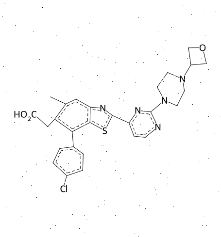 Cc1cc2nc(-c3ccnc(N4CCN(C5COC5)CC4)n3)sc2c(-c2ccc(Cl)cc2)c1CC(=O)O